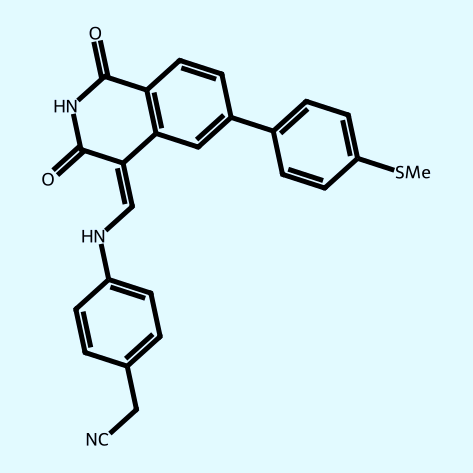 CSc1ccc(-c2ccc3c(c2)/C(=C/Nc2ccc(CC#N)cc2)C(=O)NC3=O)cc1